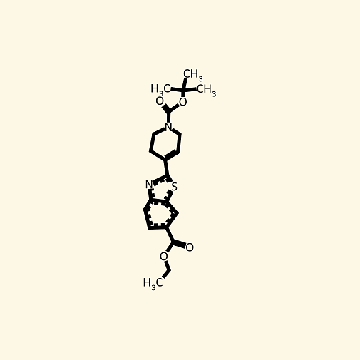 CCOC(=O)c1ccc2nc(C3=CCN(C(=O)OC(C)(C)C)CC3)sc2c1